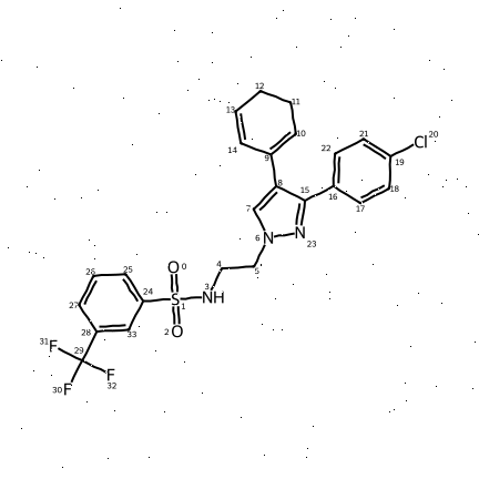 O=S(=O)(NCCn1cc(C2=CCCC=C2)c(-c2ccc(Cl)cc2)n1)c1cccc(C(F)(F)F)c1